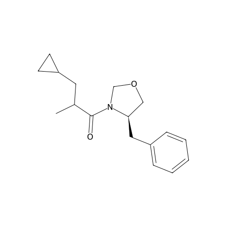 CC(CC1CC1)C(=O)N1COC[C@H]1Cc1ccccc1